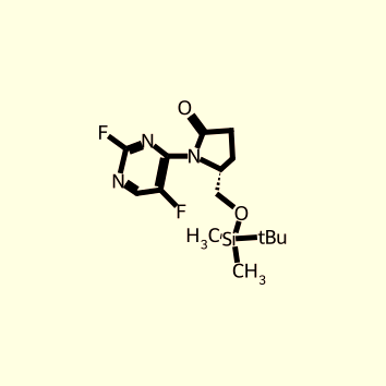 CC(C)(C)[Si](C)(C)OC[C@H]1CCC(=O)N1c1nc(F)ncc1F